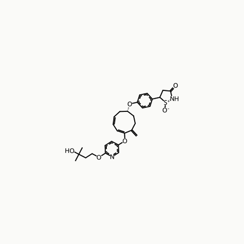 C=C1CC[C@@H](Oc2ccc(C3CC(=O)N[S+]3[O-])cc2)C/C=C\C=C/1Oc1ccc(OCCC(C)(C)O)nc1